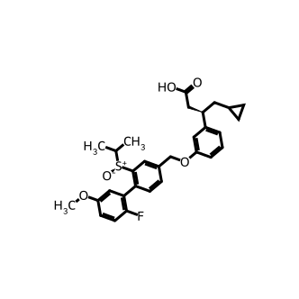 COc1ccc(F)c(-c2ccc(COc3cccc([C@@H](CC(=O)O)CC4CC4)c3)cc2[S@@+]([O-])C(C)C)c1